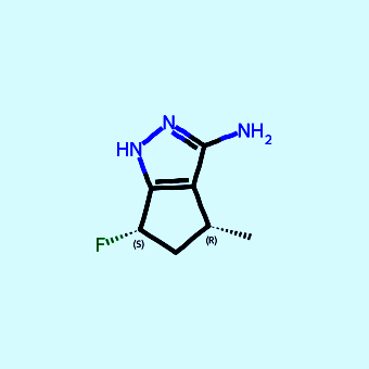 C[C@@H]1C[C@H](F)c2[nH]nc(N)c21